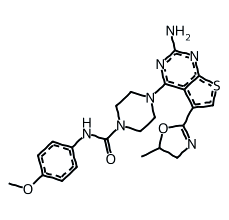 COc1ccc(NC(=O)N2CCN(c3nc(N)nc4scc(C5=NCC(C)O5)c34)CC2)cc1